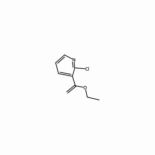 C=C(OCC)c1cccnc1Cl